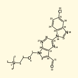 C[Si](C)(C)CCOCn1cc(C=O)c2nc(-n3cnc4cc(Cl)ccc43)cnc21